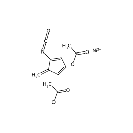 C=C1C=CC=C1N=C=O.CC(=O)[O-].CC(=O)[O-].[Ni+2]